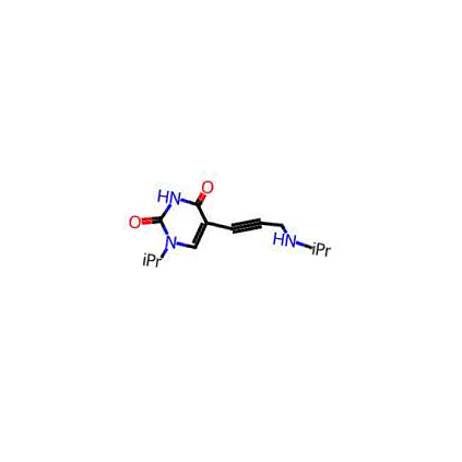 CC(C)NCC#Cc1cn(C(C)C)c(=O)[nH]c1=O